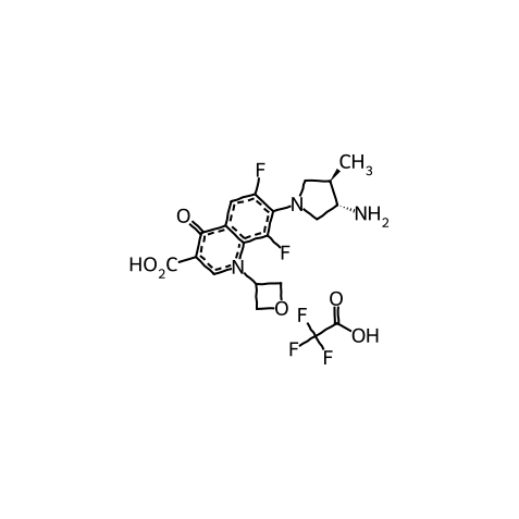 C[C@@H]1CN(c2c(F)cc3c(=O)c(C(=O)O)cn(C4COC4)c3c2F)C[C@H]1N.O=C(O)C(F)(F)F